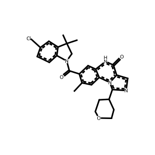 Cc1cc2c(cc1C(=O)N1CC(C)(C)c3cc(Cl)ccc31)[nH]c(=O)c1cnc(C3CCOCC3)n12